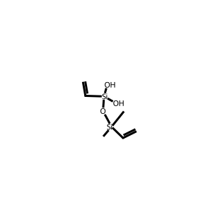 C=C[Si](C)(C)O[Si](O)(O)C=C